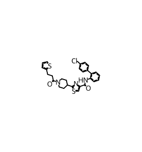 O=C(Nc1ccccc1-c1ccc(Cl)cc1)c1csc(C2CCN(C(=O)CCc3cccs3)CC2)n1